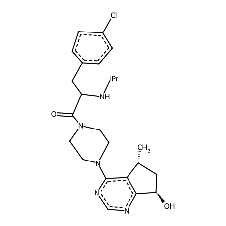 CC(C)NC(Cc1ccc(Cl)cc1)C(=O)N1CCN(c2ncnc3c2[C@H](C)C[C@H]3O)CC1